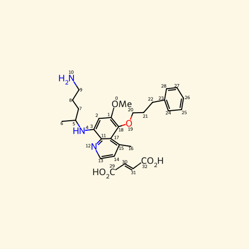 COc1cc(NC(C)CCCN)c2nccc(C)c2c1OCCCc1ccccc1.O=C(O)C=CC(=O)O